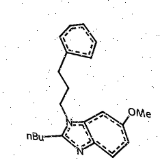 CCCCc1nc2ccc(OC)cc2n1CCCc1ccccc1